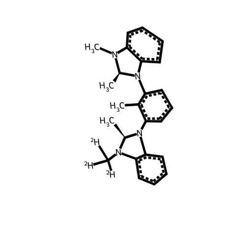 [2H]C([2H])([2H])N1c2ccccc2N(c2cccc(N3c4ccccc4N(C)[C@@H]3C)c2C)[C@@H]1C